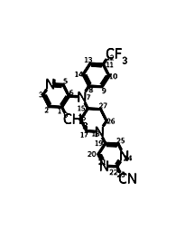 Cc1ccncc1N(c1ccc(C(F)(F)F)cc1)C1CCN(c2cnc(C#N)nc2)CC1